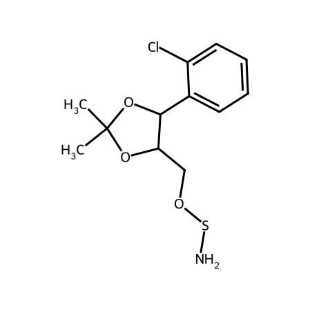 CC1(C)OC(COSN)C(c2ccccc2Cl)O1